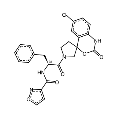 O=C1Nc2ccc(Cl)cc2C2(CCN(C(=O)[C@H](Cc3ccccc3)NC(=O)c3ccon3)C2)O1